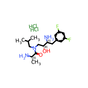 CC(C)CN(C[C@@H](O)[C@@H](N)Cc1cc(F)cc(F)c1)C(=O)[C@H](C)N.Cl.Cl